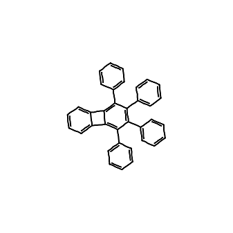 c1ccc(-c2c(-c3ccccc3)c(-c3ccccc3)c3c(c2-c2ccccc2)-c2ccccc2-3)cc1